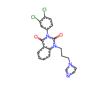 O=c1c2ccccc2n(CCCn2ccnc2)c(=O)n1-c1ccc(Cl)c(Cl)c1